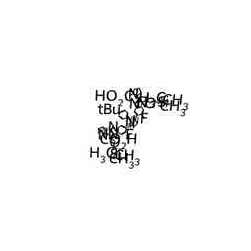 CC(C)(C)c1ccc(N2[C@@H](c3cc4nc(C5CCCN5C(=O)O)n(COCC[Si](C)(C)C)c4cc3F)CC[C@@H]2c2cc3nc([C@H]4CCCN4C(=O)O)n(COCC[Si](C)(C)C)c3cc2F)cc1